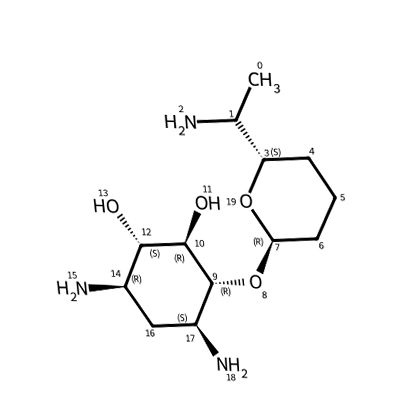 CC(N)[C@@H]1CCC[C@@H](O[C@H]2[C@H](O)[C@@H](O)[C@H](N)C[C@@H]2N)O1